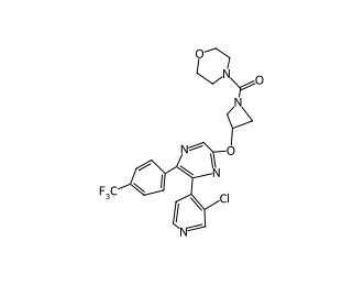 O=C(N1CCOCC1)N1CC(Oc2cnc(-c3ccc(C(F)(F)F)cc3)c(-c3ccncc3Cl)n2)C1